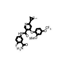 COc1cc(OC(F)(F)F)ccc1Oc1cc(C2C[C@@H]2C)ncc1C(=O)Nc1ccc(F)c(C(N)=O)c1